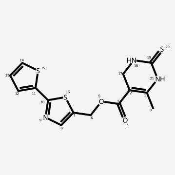 CC1=C(C(=O)OCc2cnc(-c3cccs3)s2)CNC(=S)N1